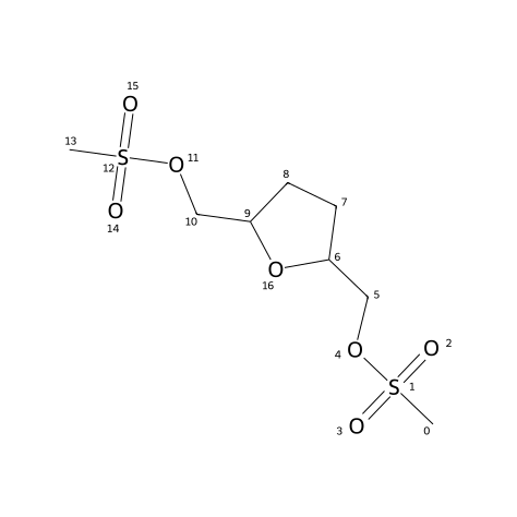 CS(=O)(=O)OCC1CCC(COS(C)(=O)=O)O1